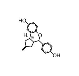 C=C1CC2C(c3ccc(O)cc3)Oc3ccc(O)cc3[C@@H]2C1